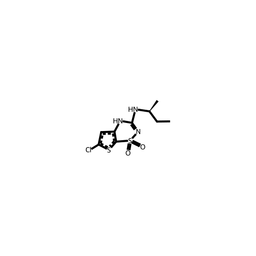 CC[C@H](C)NC1=NS(=O)(=O)c2sc(Cl)cc2N1